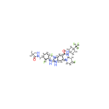 CC(C)(C)C(=O)NCc1ccc(F)c(Nc2nc3cc(C(=O)N[C@H]4CC[C@H](C(F)(F)F)CC4)c(N4CCC(F)CC4)cc3[nH]2)c1F